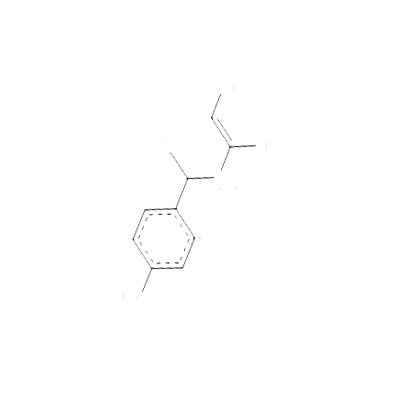 CC=C(C)[SiH2]C(Cl)c1ccc(C)cc1